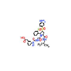 CC(C)CNC(=O)C1CC(S(=O)(=O)c2ccc(N)cc2)C(c2ccccc2F)N1C(=O)CNC(=O)Nc1cccc(CC(=O)O)c1